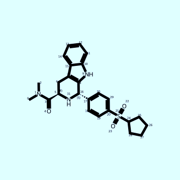 CN(C)C(=O)[C@H]1Cc2c([nH]c3ccccc23)[C@H](c2ccc(S(=O)(=O)C3CCCC3)cc2)N1